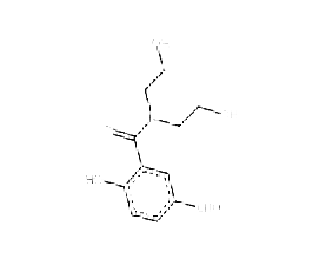 O=Cc1ccc(O)c(C(=O)N(CCO)CCO)c1